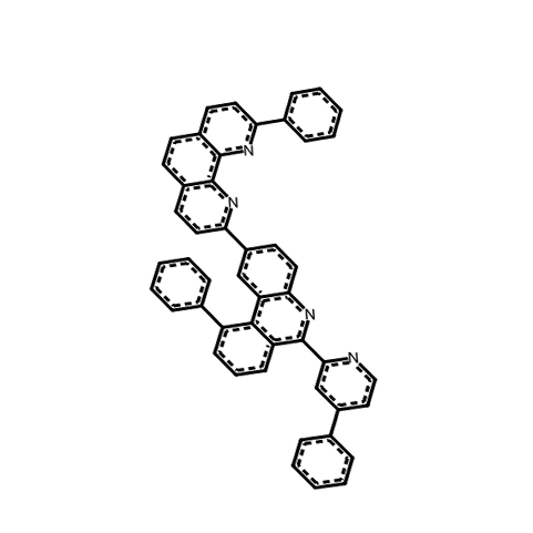 c1ccc(-c2ccnc(-c3nc4ccc(-c5ccc6ccc7ccc(-c8ccccc8)nc7c6n5)cc4c4c(-c5ccccc5)cccc34)c2)cc1